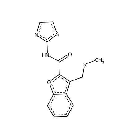 CSCc1c(C(=O)Nc2nccs2)oc2ccccc12